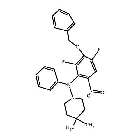 CC1(C)CCN(N(c2ccccc2)c2c([N+](=O)[O-])cc(F)c(OCc3ccccc3)c2F)CC1